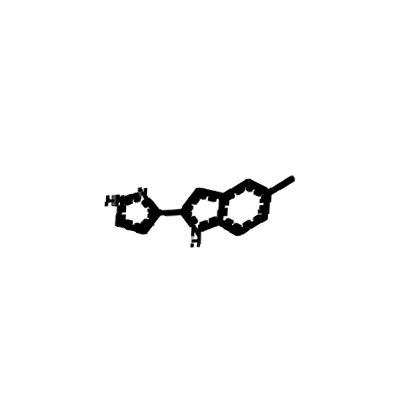 Cc1ccc2[nH]c(-c3cc[nH]n3)cc2c1